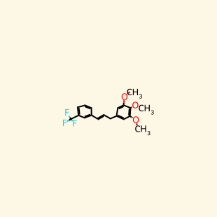 COc1cc(C/C=C/c2cccc(C(F)(F)F)c2)cc(OC)c1OC